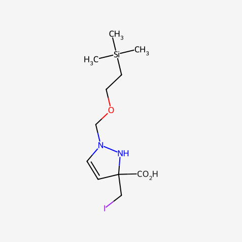 C[Si](C)(C)CCOCN1C=CC(CI)(C(=O)O)N1